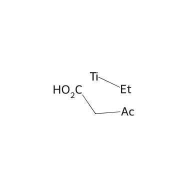 CC(=O)CC(=O)O.C[CH2][Ti]